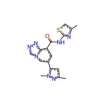 Cc1csc(NC(=O)c2cc(-c3cc(C)nn3C)cn3cnnc23)n1